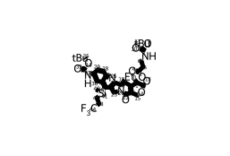 CCC1(OC(=O)CCNC(=O)OC(C)(C)C)C(=O)OCc2c1cc1n(c2=O)Cc2c-1nc1ccc(NC(=O)OC(C)(C)C)cc1c2[Si](C)(C)CCC(F)(F)F